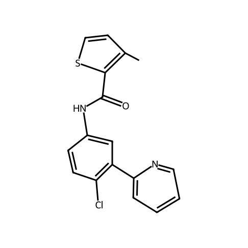 Cc1ccsc1C(=O)Nc1ccc(Cl)c(-c2ccccn2)c1